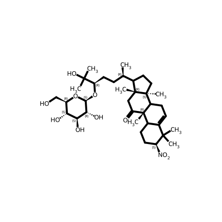 C[C@H](CC[C@@H](O[C@@H]1O[C@H](CO)[C@@H](O)[C@H](O)[C@H]1O)C(C)(C)O)C1CC[C@@]2(C)C3CC=C4C(CC[C@H]([N+](=O)[O-])C4(C)C)[C@]3(C)C(=O)C[C@]12C